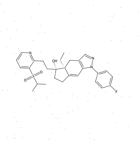 CC[C@]12Cc3cnn(-c4ccc(F)cc4)c3C=C1CC[C@@]2(O)CCc1ncccc1S(=O)(=O)C(C)C